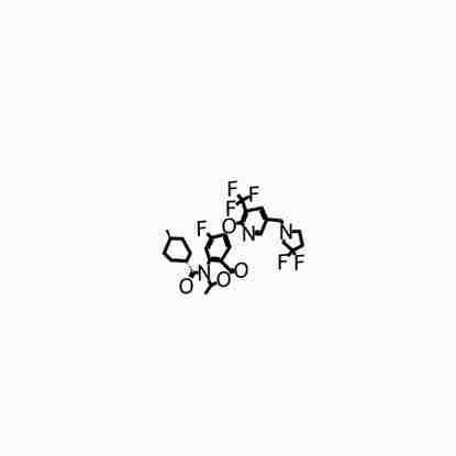 CC1OC(=O)c2cc(Oc3ncc(CN4CCC(F)(F)C4)cc3C(F)(F)F)c(F)cc2N1C(=O)[C@H]1CC[C@H](C)CC1